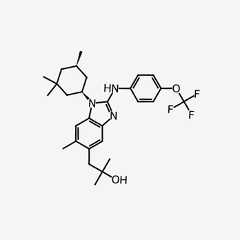 Cc1cc2c(cc1CC(C)(C)O)nc(Nc1ccc(OC(F)(F)F)cc1)n2[C@@H]1C[C@H](C)CC(C)(C)C1